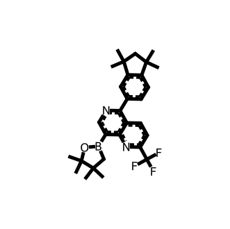 CC1(C)CC(C)(C)c2cc(-c3ncc(B4CC(C)(C)C(C)(C)O4)c4nc(C(F)(F)F)ccc34)ccc21